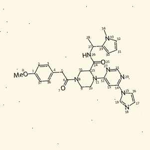 COc1ccc(CC(=O)N2CCN(c3cc(-n4ccnc4)ncn3)C(C(=O)NC(C)c3cccn3C)C2)cc1